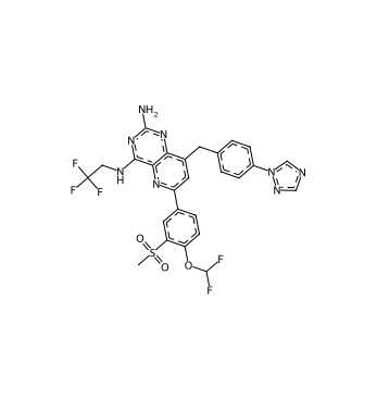 CS(=O)(=O)c1cc(-c2cc(Cc3ccc(-n4cncn4)cc3)c3nc(N)nc(NCC(F)(F)F)c3n2)ccc1OC(F)F